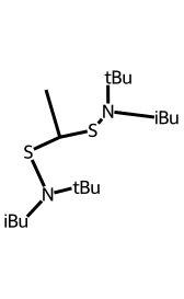 CCC(C)N(SC(C)SN(C(C)CC)C(C)(C)C)C(C)(C)C